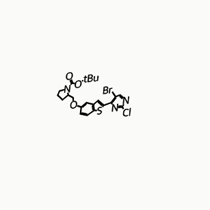 CC(C)(C)OC(=O)N1CCCC1COc1ccc2sc(-c3nc(Cl)ncc3Br)cc2c1